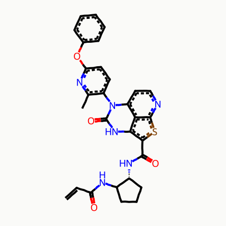 C=CC(=O)NC1CCC[C@H]1NC(=O)c1sc2nccc3c2c1NC(=O)N3c1ccc(Oc2ccccc2)nc1C